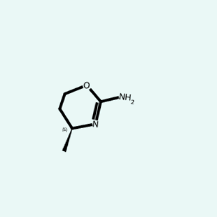 C[C@H]1CCOC(N)=N1